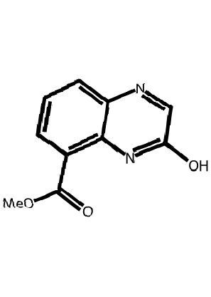 COC(=O)c1cccc2ncc(O)nc12